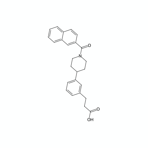 O=C(O)CCc1cccc(C2CCN(C(=O)c3ccc4ccccc4c3)CC2)c1